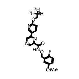 [2H]C([2H])([2H])COc1ccc(-c2cncc(C(=O)NOCc3cc(OC)ccc3F)n2)cn1